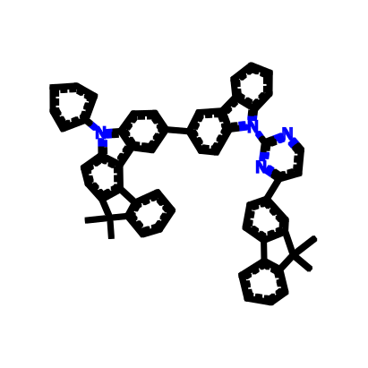 CC1(C)c2ccccc2-c2ccc(-c3ccnc(-n4c5ccccc5c5cc(-c6ccc7c(c6)c6c8c(ccc6n7-c6ccccc6)C(C)(C)c6ccccc6-8)ccc54)n3)cc21